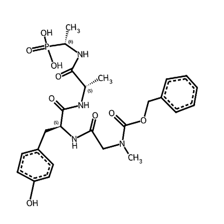 C[C@H](NC(=O)[C@H](Cc1ccc(O)cc1)NC(=O)CN(C)C(=O)OCc1ccccc1)C(=O)N[C@@H](C)P(=O)(O)O